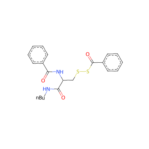 CCCCNC(=O)C(CSSC(=O)c1ccccc1)NC(=O)c1ccccc1